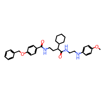 COc1ccc(NCCNC(=O)C(CCNC(=O)c2ccc(OCc3ccccc3)cc2)C2CCCCC2)cc1